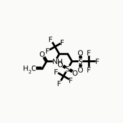 C=CC(=O)NC(CC(S(=O)(=O)C(F)(F)F)S(=O)(=O)C(F)(F)F)C(F)(F)F